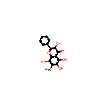 COc1c(O)c(O)c2c(=O)c(O)c(-c3ccccc3)oc2c1O